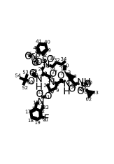 C=C[C@@H]1C[C@]1(NC(=O)C1C[C@@H](OC(=O)N2Cc3cccc(F)c3C2)CN1C(=O)[C@H](CN(CCCC)S(=O)(=O)c1ccccc1[N+](=O)[O-])NC(=O)OC(C)(C)C)C(=O)NS(=O)(=O)C1CC1